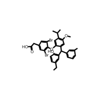 CCc1ccc(O)c(C(c2cccc(C)c2)c2cc(OC)c(C(C)C)cc2Oc2c(Br)cc(CC(=O)O)cc2Br)c1